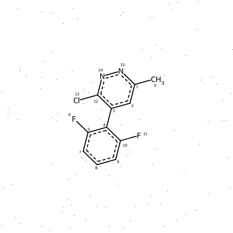 Cc1cc(-c2c(F)cccc2F)c(Cl)nn1